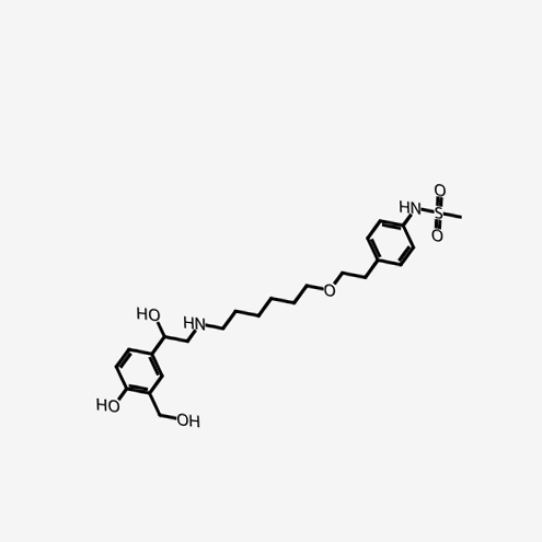 CS(=O)(=O)Nc1ccc(CCOCCCCCCNCC(O)c2ccc(O)c(CO)c2)cc1